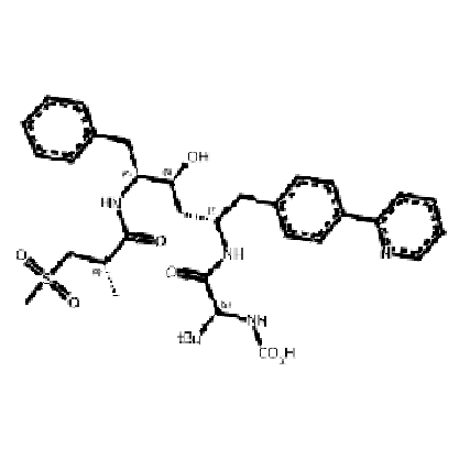 C[C@H](CS(C)(=O)=O)C(=O)N[C@@H](Cc1ccccc1)[C@@H](O)C[C@H](Cc1ccc(-c2ccccn2)cc1)NC(=O)[C@@H](NC(=O)O)C(C)(C)C